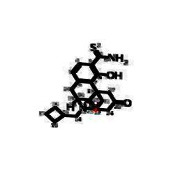 NC(=S)c1ccc2c(c1O)C13CCN(CC4CCC4)[C@H](C2)[C@]1(O)CCC(=O)C3